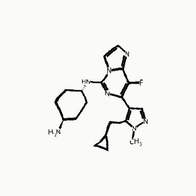 Cn1ncc(-c2nc(N[C@H]3CC[C@H](N)CC3)n3ccnc3c2F)c1CC1CC1